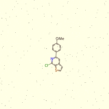 COc1ccc(-c2cc3ccsc3c(Cl)n2)cc1